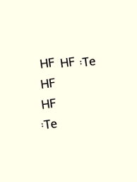 F.F.F.F.[Te].[Te]